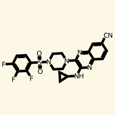 N#Cc1ccc2nc(NC3CC3)c(N3CCN(S(=O)(=O)c4ccc(F)c(F)c4F)CC3)nc2c1